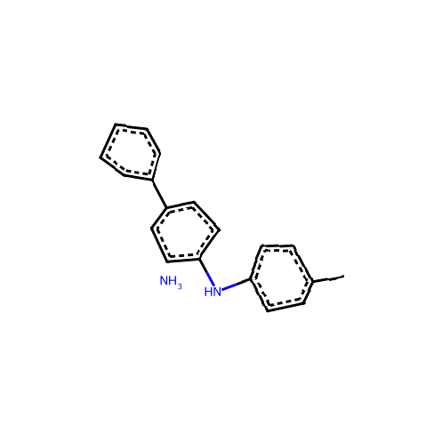 Cc1ccc(Nc2ccc(-c3ccccc3)cc2)cc1.N